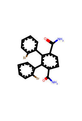 NC(=O)c1ccc(C(N)=O)c(-c2ccccc2Br)c1-c1ccccc1Br